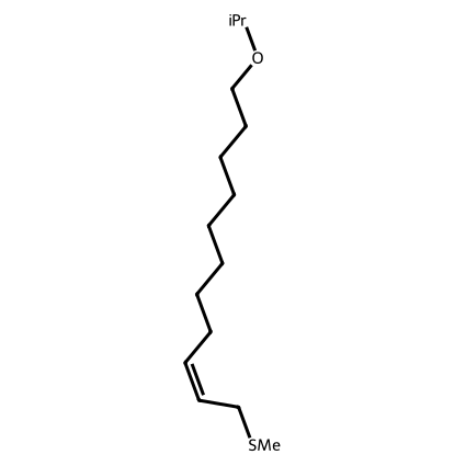 CSC/C=C\CCCCCCCCOC(C)C